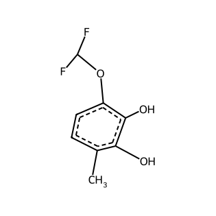 Cc1ccc(OC(F)F)c(O)c1O